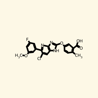 COc1cc(F)cc(-c2nc3nc(Oc4ccc(C)c(C(=O)O)c4)[nH]c3cc2Cl)c1